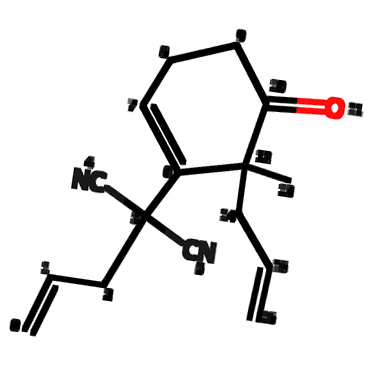 C=CCC(C#N)(C#N)C1=CCCC(=O)C1(C)CC=C